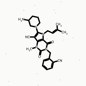 CC(C)=CCn1c(N2CCCC(N)C2)c(C#N)c2c1c(=O)n(Cc1ccccc1C#N)c(=O)n2C